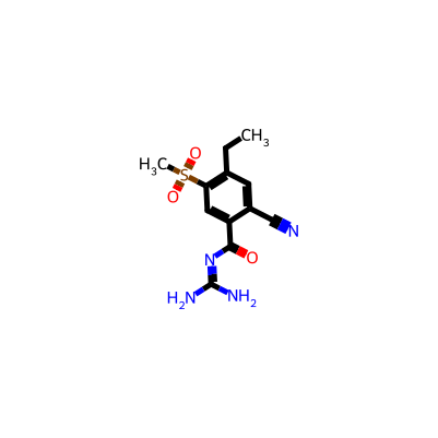 CCc1cc(C#N)c(C(=O)N=C(N)N)cc1S(C)(=O)=O